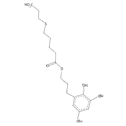 CC(C)(C)c1cc(CCCOC(=O)CCCCSCCC(=O)O)c(O)c(C(C)(C)C)c1